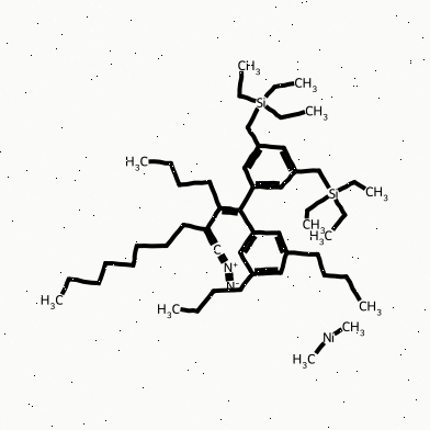 CCCCCCCCC(=C=[N+]=[N-])C(CCCC)=C(c1cc(CCCC)cc(CCCC)c1)c1cc(C[Si](CC)(CC)CC)cc(C[Si](CC)(CC)CC)c1.[CH3][Ni][CH3]